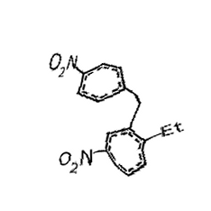 CCc1ccc([N+](=O)[O-])cc1Cc1ccc([N+](=O)[O-])cc1